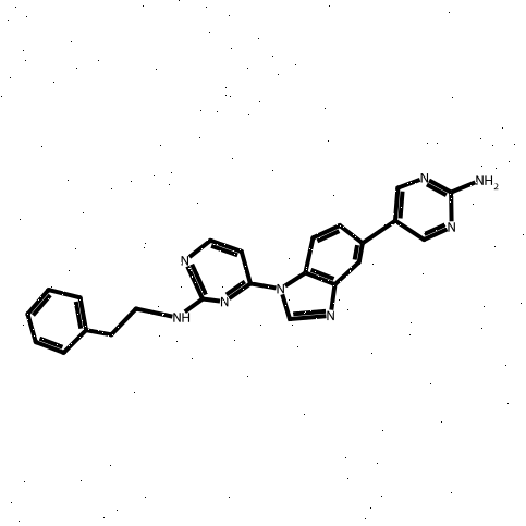 Nc1ncc(-c2ccc3c(c2)ncn3-c2ccnc(NCCc3ccccc3)n2)cn1